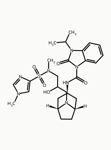 CC(C)n1c(=O)n(C(=O)N[C@@H]2C[C@H]3CC[C@@H](C2)N3CC(O)CN(C)S(=O)(=O)c2cn(C)cn2)c2ccccc21